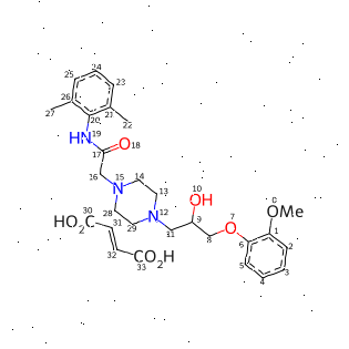 COc1ccccc1OCC(O)CN1CCN(CC(=O)Nc2c(C)cccc2C)CC1.O=C(O)C=CC(=O)O